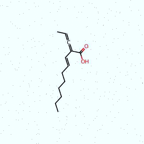 CC=C=C(C=CCCCCCC)C(=O)O